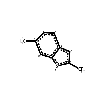 Cc1ccc2cc(C(F)(F)F)sc2c1